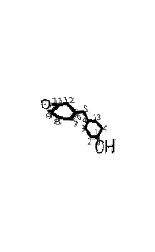 OC1CCC(CC2CCC3OC3C2)CC1